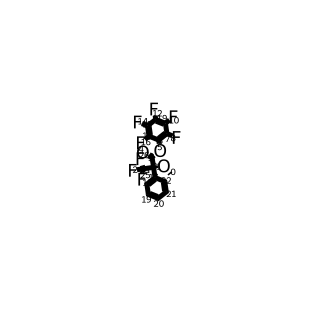 CO[C@@](C(=O)Oc1c(F)c(F)c(F)c(F)c1F)(c1ccccc1)C(F)(F)F